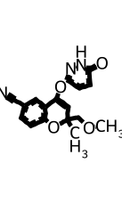 COCC1(C)C=C(Oc2ccc(=O)[nH]n2)c2cc(C#N)ccc2O1